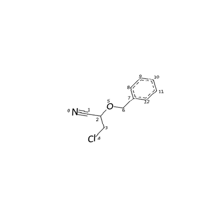 N#CC(CCl)OCc1ccccc1